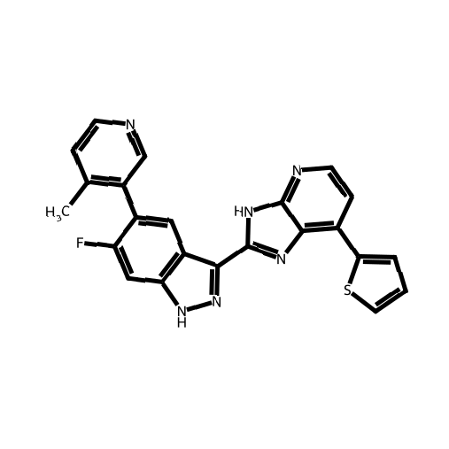 Cc1ccncc1-c1cc2c(-c3nc4c(-c5cccs5)ccnc4[nH]3)n[nH]c2cc1F